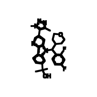 Cc1nnn(C)c1-c1cnc2c3ccc(C(C)(C)O)cc3n(C(c3ccc(F)cc3F)C3CCOCC3)c2c1